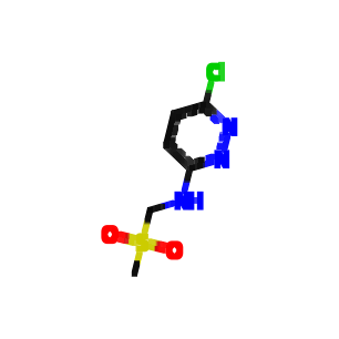 CS(=O)(=O)CNc1ccc(Cl)nn1